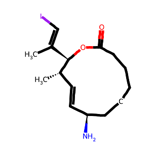 C/C(=C\I)[C@H]1OC(=O)CCCCC[C@@H](N)/C=C/[C@@H]1C